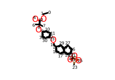 CCOC(=O)C(C)(C)Oc1ccc(OCc2ccc3cc(OS(C)(=O)=O)ccc3c2)cc1